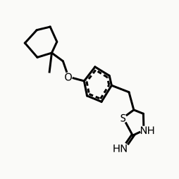 CC1(COc2ccc(CC3CNC(=N)S3)cc2)CCCCC1